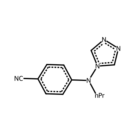 CCCN(c1ccc(C#N)cc1)n1cnnc1